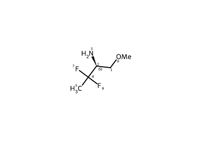 COC[C@H](N)C(C)(F)F